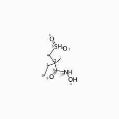 CCC(C)(C[SH](=O)=O)C(=O)NO